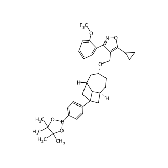 CC1(C)OB(c2ccc(C34C[C@@H]5CC[C@@H](OCc6c(-c7ccccc7OC(F)(F)F)noc6C6CC6)C[C@@H](C3)C54)cc2)OC1(C)C